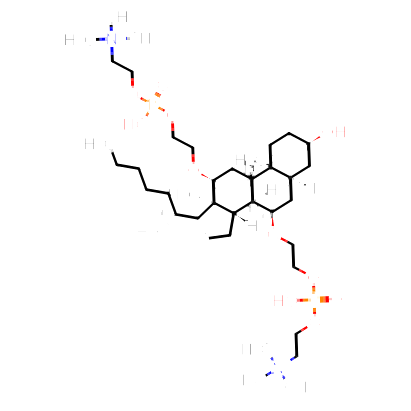 CCCCC[C@@H](C)[C@H]1CC[C@H]2[C@@H]3[C@H](OCCOP(=O)(O)OCC[N+](C)(C)C)C[C@@H]4C[C@H](O)CC[C@]4(C)[C@H]3C[C@H](OCCOP(=O)(O)OCC[N+](C)(C)C)[C@]12C